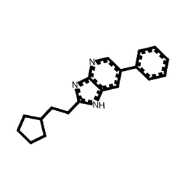 c1ccc(-c2cnc3nc(CCC4CCCC4)[nH]c3c2)cc1